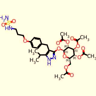 CC(=O)OC[C@H]1O[C@@H](Oc2n[nH]c(C(C)C)c2Cc2ccc(OCCCNS(N)(=O)=O)cc2)[C@H](OC(C)=O)[C@@H](OC(C)=O)[C@@H]1OC(C)=O